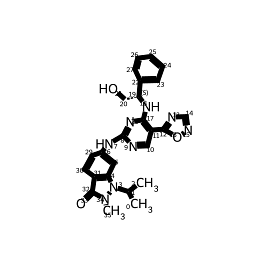 CC(C)n1c2cc(Nc3ncc(-c4ncno4)c(N[C@H](CO)c4ccccc4)n3)ccc2c(=O)n1C